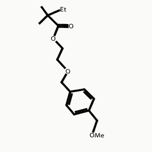 CCC(C)(C)C(=O)OCCOCc1ccc(COC)cc1